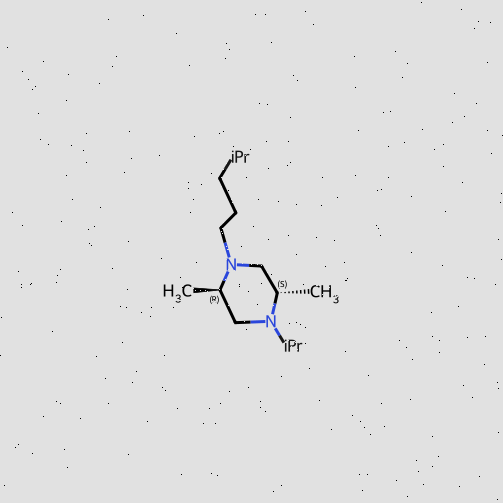 CC(C)CCCN1C[C@H](C)N(C(C)C)C[C@H]1C